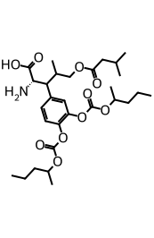 CCCC(C)OC(=O)Oc1ccc(C(C(C)COC(=O)CC(C)C)[C@H](N)C(=O)O)cc1OC(=O)OC(C)CCC